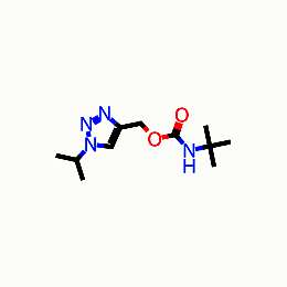 CC(C)n1cc(COC(=O)NC(C)(C)C)nn1